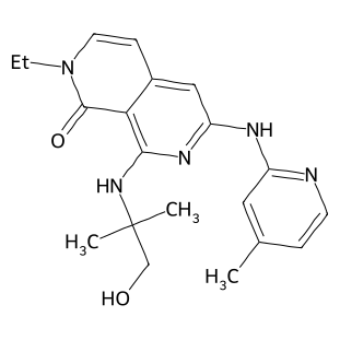 CCn1ccc2cc(Nc3cc(C)ccn3)nc(NC(C)(C)CO)c2c1=O